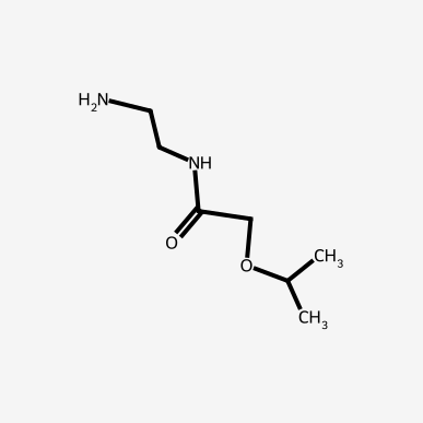 CC(C)OCC(=O)NCCN